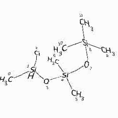 C[SiH](Cl)O[Si](C)(C)O[Si](C)(C)C